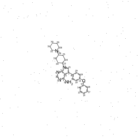 Nc1ncnc2c1c(-c1ccc(Oc3ccccc3)cc1)cn2C1CCC(N2CCCCC2)CC1